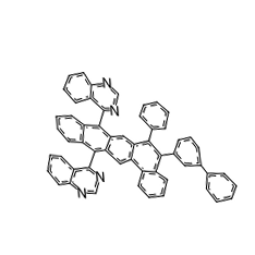 c1ccc(-c2cccc(-c3c(-c4ccccc4)c4cc5c(-c6ncnc7ccccc67)c6ccccc6c(-c6ncnc7ccccc67)c5cc4c4ccccc34)c2)cc1